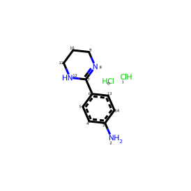 Cl.Cl.Nc1ccc(C2=NCCCN2)cc1